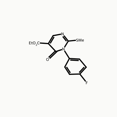 CCOC(=O)c1cnc(SC)n(-c2ccc(F)cc2)c1=O